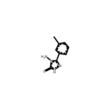 Cc1cccc(-c2n[nH]c(=S)n2N)c1